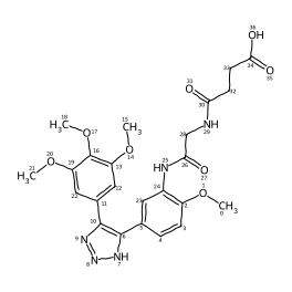 COc1ccc(-c2[nH]nnc2-c2cc(OC)c(OC)c(OC)c2)cc1NC(=O)CNC(=O)CCC(=O)O